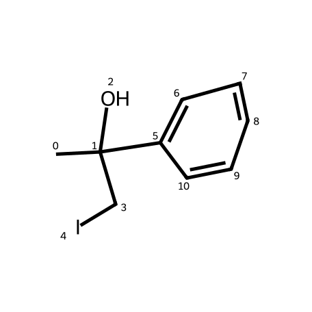 CC(O)(CI)c1ccccc1